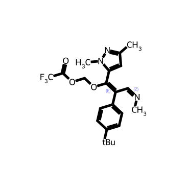 C/N=C\C(=C(\OCOC(=O)C(F)(F)F)c1cc(C)nn1C)c1ccc(C(C)(C)C)cc1